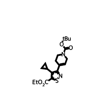 CCOC(=O)c1snc(C2=CCN(C(=O)OC(C)(C)C)CC2)c1C1CC1